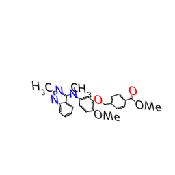 COC(=O)c1ccc(COc2cc(N(C)c3nc(C)nc4ccccc34)ccc2OC)cc1